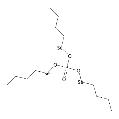 CCCC[Se]OP(=O)(O[Se]CCCC)O[Se]CCCC